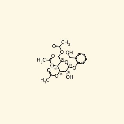 CC(=O)OC[C@H]1O[C@@H](Oc2ccccc2CO)[C@H](O)[C@@H](OC(C)=O)[C@H]1OC(C)=O